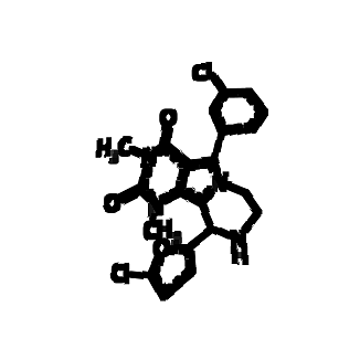 Cn1c(=O)c2c(-c3cccc(Cl)c3)n3c(c2n(C)c1=O)C(c1ccc(Cl)o1)NCC3